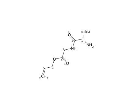 C=CCOC(=O)CNC(=O)[C@@H](N)[C@@H](C)CC